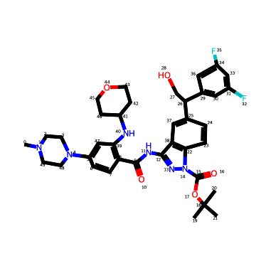 CN1CCN(c2ccc(C(=O)Nc3nn(C(=O)OC(C)(C)C)c4ccc(C(CO)c5cc(F)cc(F)c5)cc34)c(NC3CCOCC3)c2)CC1